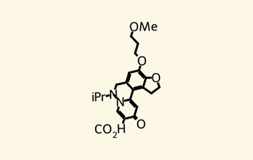 COCCCOc1cc2c(c3c1OCC3)-c1cc(=O)c(C(=O)O)cn1N(C(C)C)C2